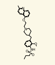 CCCS(=O)(=O)Nc1cccc(CC2CCN(CCOc3cccc4nc(C)ccc34)CC2)c1OC